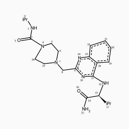 CC(C)NC(=O)N1CCN(Cc2nc(N[C@H](C(N)=O)C(C)C)c3ccccc3n2)CC1